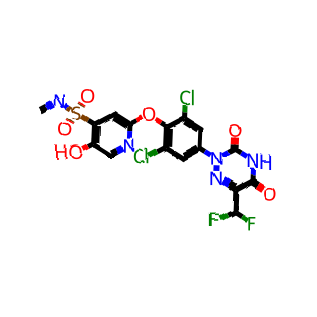 C=NS(=O)(=O)c1cc(Oc2c(Cl)cc(-n3nc(C(F)F)c(=O)[nH]c3=O)cc2Cl)ncc1O